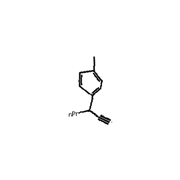 [C]#CC(CCC)c1ccc(C)cc1